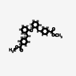 COC(=O)c1ccc(Cc2ccccc2Oc2ccccc2Cc2ccc(C(=O)OC)cc2)cc1